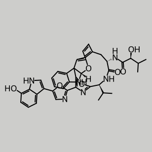 CC(C)[C@H](O)C(=O)N[C@H]1Cc2ccc3c(c2)C2(c4ccccc4N[C@H]2O3)c2oc(nc2-c2ncc(-c3c[nH]c4c(O)cccc34)o2)[C@H](C(C)C)NC1=O